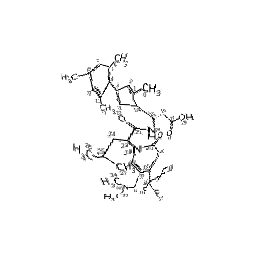 CC1=CC(c2c(C)cc(C)cc2C)=CC1[C@H](CC(=O)O)NC(=O)C(CC(C)C)n1cc(CN(C)C)c(C(F)(F)F)cc1=O